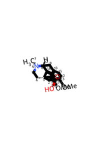 COC1=C[C@]23CCN(C)[C@H](Cc4ccc(OC)c(O)c42)C3=CC1=O